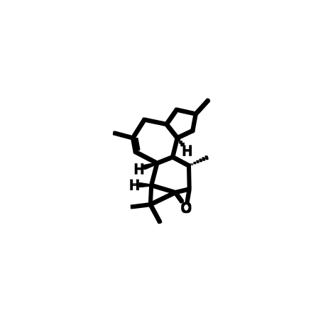 CC1=C[C@@H]2C([C@H](C)C3OC34[C@@H]2C4(C)C)[C@@H]2CC(C)CC2C1